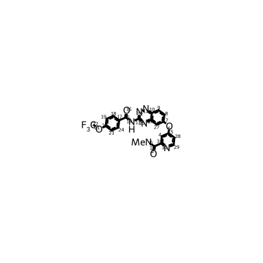 CNC(=O)c1cc(Oc2ccc3nnc(NC(=O)c4ccc(OC(F)(F)F)cc4)nc3c2)ccn1